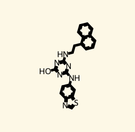 Oc1nc(NCCc2cccc3ccccc23)nc(Nc2ccc3ncsc3c2)n1